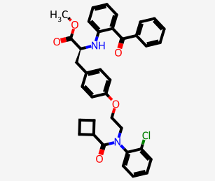 COC(=O)[C@H](Cc1ccc(OCCN(C(=O)C2CCC2)c2ccccc2Cl)cc1)Nc1ccccc1C(=O)c1ccccc1